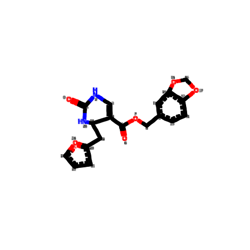 O=C1NC=C(C(=O)OCc2ccc3c(c2)OCO3)C(Cc2ccco2)N1